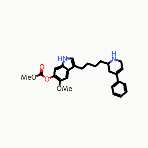 COC(=O)Oc1cc2[nH]cc(CCCCC3CC(c4ccccc4)=CCN3)c2cc1OC